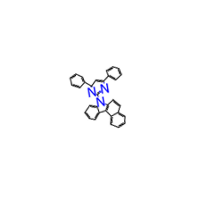 c1ccc(-c2cc(-c3ccccc3)nc(-n3c4ccccc4c4c5ccccc5ccc43)n2)cc1